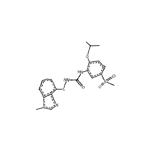 CC(C)Oc1ccc(S(C)(=O)=O)cc1NC(=O)NSc1cccc2c1ncn2C